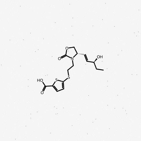 CC[C@H](O)/C=C/[C@H]1COC(=O)N1CCSc1ccc(C(=O)O)s1